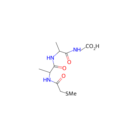 CSCC(=O)NC(C)C(=O)NC(C)C(=O)NCC(=O)O